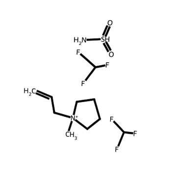 C=CC[N+]1(C)CCCC1.FC(F)F.FC(F)F.N[SH](=O)=O